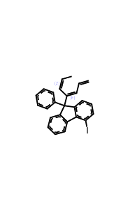 C=C/C=C(\C=C/C)C1(c2ccccc2)c2ccccc2-c2c(I)cccc21